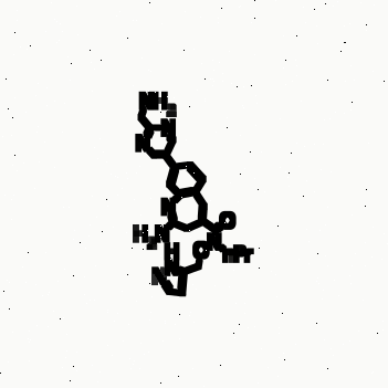 CCCN(OCc1ccn[nH]1)C(=O)C1=Cc2ccc(-c3cnc(CN)nc3)cc2N=C(N)C1